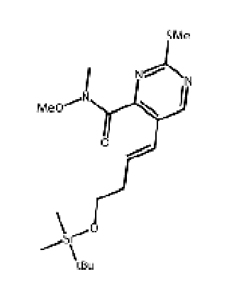 CON(C)C(=O)c1nc(SC)ncc1/C=C/CCO[Si](C)(C)C(C)(C)C